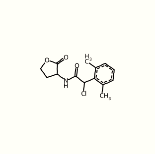 Cc1cccc(C)c1C(Cl)C(=O)NC1CCOC1=O